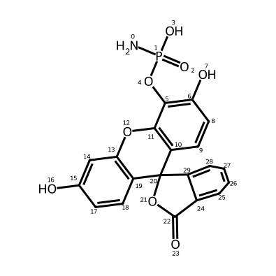 NP(=O)(O)Oc1c(O)ccc2c1Oc1cc(O)ccc1C21OC(=O)c2ccccc21